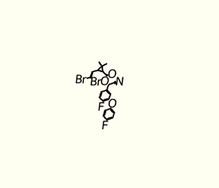 CC1(C)C(C=C(Br)Br)C1C(=O)OC(C#N)c1ccc(F)c(Oc2ccc(F)cc2)c1